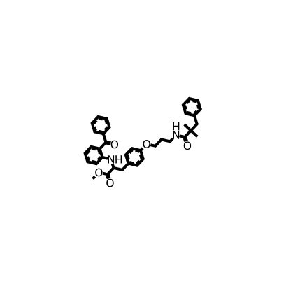 COC(=O)C(Cc1ccc(OCCCNC(=O)C(C)(C)Cc2ccccc2)cc1)Nc1ccccc1C(=O)c1ccccc1